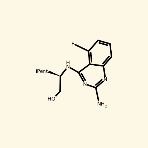 CCCC(C)[C@H](CO)Nc1nc(N)nc2cccc(F)c12